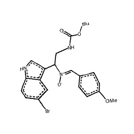 COc1ccc(/C=[N+](\[O-])C(CNC(=O)OC(C)(C)C)c2c[nH]c3ccc(Br)cc23)cc1